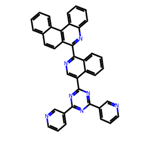 c1cncc(-c2nc(-c3cccnc3)nc(-c3cnc(-c4nc5ccccc5c5c4ccc4ccccc45)c4ccccc34)n2)c1